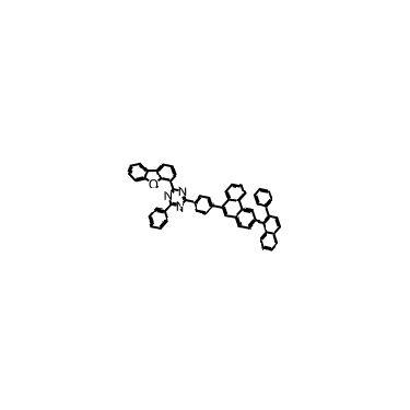 c1ccc(-c2nc(-c3ccc(-c4cc5ccc(-c6c(-c7ccccc7)ccc7ccccc67)cc5c5ccccc45)cc3)nc(-c3cccc4c3oc3ccccc34)n2)cc1